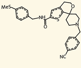 CSc1ccc(CNC(=O)c2cc3c(s2)C2(CCN(Cc4ccc(C#N)cc4)CC2)OCC3)cc1